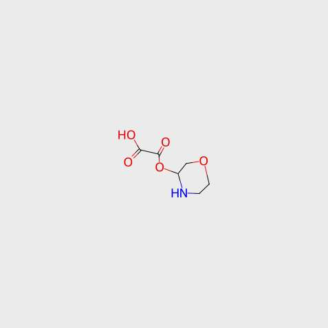 O=C(O)C(=O)OC1COCCN1